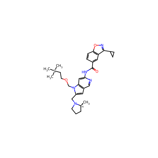 C[C@H]1CCCN1Cc1cc2cnc(NC(=O)c3ccc4onc(C5CC5)c4c3)cc2n1COCC[Si](C)(C)C